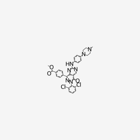 COC(=O)c1ccc(-c2nn(-c3c(Cl)cccc3Cl)c(=O)c3cnc(Nc4ccc(N5CCN(C)CC5)cc4)nc23)cc1